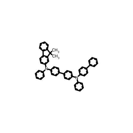 CC1(C)c2ccccc2-c2ccc(N(c3ccccc3)c3ccc(-c4ccc(N(c5ccccc5)c5ccc(-c6ccccc6)cc5)cc4)cc3)cc21